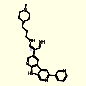 CN1CCN(CCCN/C=C(\C=N)c2cnc3[nH]c4cnc(-c5cccnc5)cc4c3c2)CC1